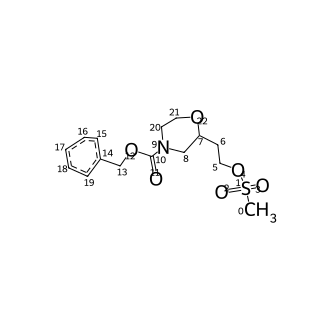 CS(=O)(=O)OCCC1CN(C(=O)OCc2ccccc2)CCO1